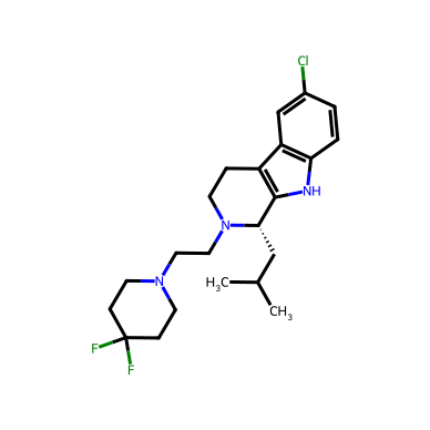 CC(C)C[C@H]1c2[nH]c3ccc(Cl)cc3c2CCN1CCN1CCC(F)(F)CC1